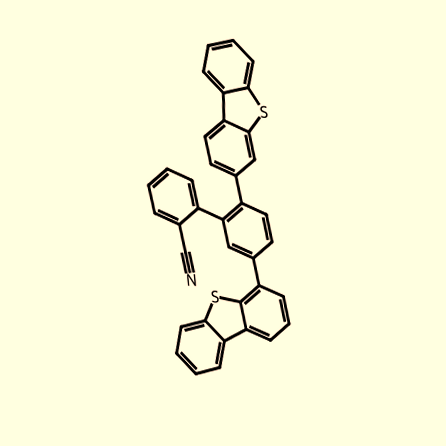 N#Cc1ccccc1-c1cc(-c2cccc3c2sc2ccccc23)ccc1-c1ccc2c(c1)sc1ccccc12